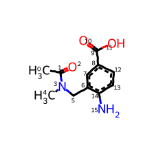 CC(=O)N(C)Cc1cc(C(=O)O)ccc1N